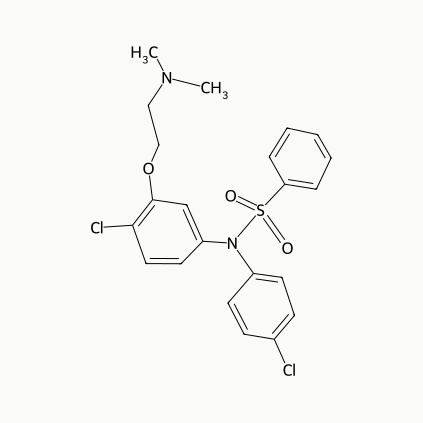 CN(C)CCOc1cc(N(c2ccc(Cl)cc2)S(=O)(=O)c2ccccc2)ccc1Cl